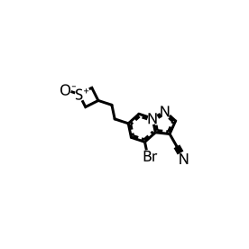 N#Cc1cnn2cc(CCC3C[S+]([O-])C3)cc(Br)c12